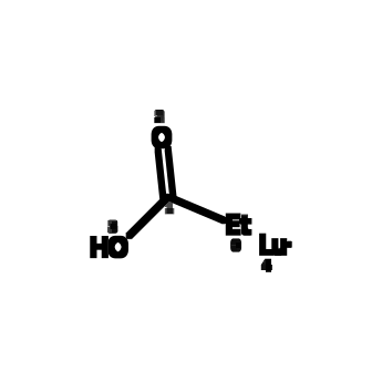 CCC(=O)O.[Lu]